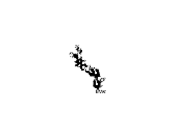 CNc1ccn(-c2ccnc3c2cc(CN2CCC(c4c(C)cc(C(=O)N(C)C)cc4C)CC2)n3C)c(=O)c1